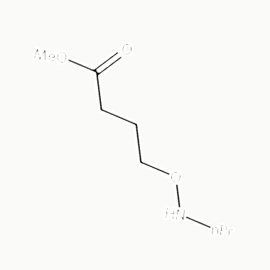 CCCNOCCCC(=O)OC